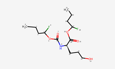 CCCC(F)OC(=O)N[C@H](CCCO)C(=O)OC(F)CCC